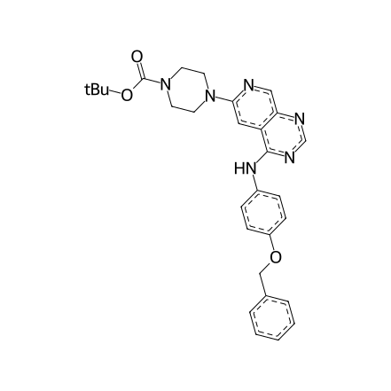 CC(C)(C)OC(=O)N1CCN(c2cc3c(Nc4ccc(OCc5ccccc5)cc4)ncnc3cn2)CC1